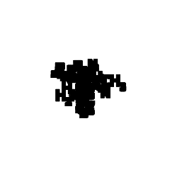 CCc1c(C#N)c(SC(C(N)=O)c2ccccc2)nc(N2CCCC(NC3CC3)C2)c1C#N